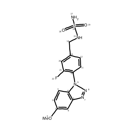 COc1ccc2c(c1)nnn2-c1ccc(CNS(N)(=O)=O)cc1F